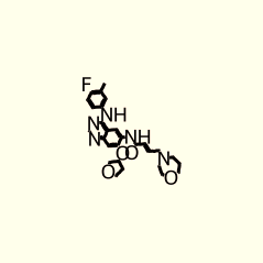 Cc1cc(Nc2ncnc3cc(O[C@H]4CCOC4)c(NC(=O)/C=C/CN4CCCOCC4)cc23)ccc1F